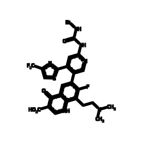 CCNC(=O)Nc1cc(-c2nc(C(F)(F)F)cs2)c(-c2cc3c(=O)c(C(=O)O)c[nH]c3c(CCN(C)C)c2F)cn1